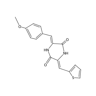 COc1ccc(C=c2[nH]c(=O)c(=Cc3cccs3)[nH]c2=O)cc1